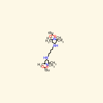 C=C1CC(NCCCCCCNC2CC(C)(C)N(OC(=O)C(C)(C)C)C(C)(C)C2)CC(C)(C)N1OC(=O)C(C)(C)C